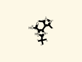 Cc1noc(C)c1-c1nc(C(C)(C)C)[nH]c1C(=O)O